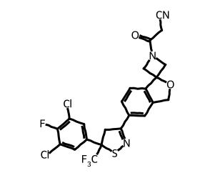 N#CCC(=O)N1CC2(C1)OCc1cc(C3=NSC(c4cc(Cl)c(F)c(Cl)c4)(C(F)(F)F)C3)ccc12